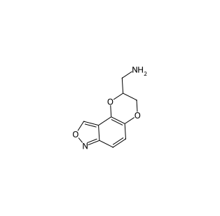 NCC1COc2ccc3nocc3c2O1